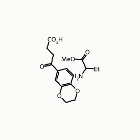 CCC(N)C(=O)OC.O=C(O)CCC(=O)c1ccc2c(c1)OCCO2